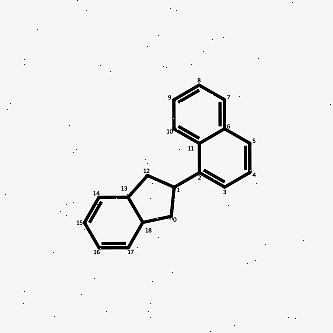 [C]1C(c2cccc3ccccc23)CC2C=CC=CC12